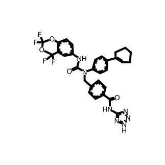 O=C(Nc1nn[nH]n1)c1ccc(CN(C(=O)Nc2ccc3c(c2)C(F)(F)OC(F)(F)O3)c2ccc(C3=CCCCC3)cc2)cc1